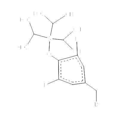 CC(C)[Si](Oc1c(F)cc(CBr)cc1F)(C(C)C)C(C)C